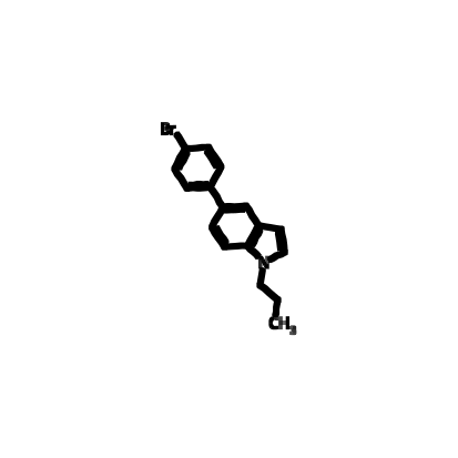 CCCn1ccc2cc(-c3ccc(Br)cc3)ccc21